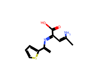 C=C(/N=C(\C=C(\C)N)C(=O)O)c1cccs1